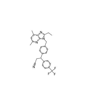 CCc1nc2c(C)cc(C)nc2n1Cc1ccc(C(CC#N)c2ccc(C(F)(F)F)cc2)cc1